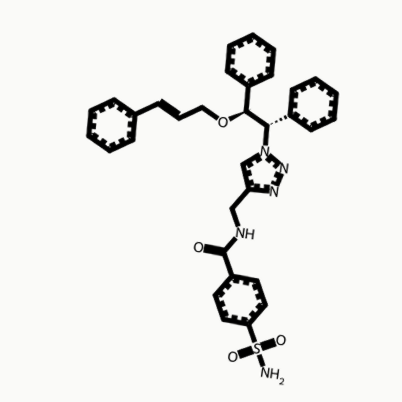 NS(=O)(=O)c1ccc(C(=O)NCc2cn([C@@H](c3ccccc3)[C@@H](OCC=Cc3ccccc3)c3ccccc3)nn2)cc1